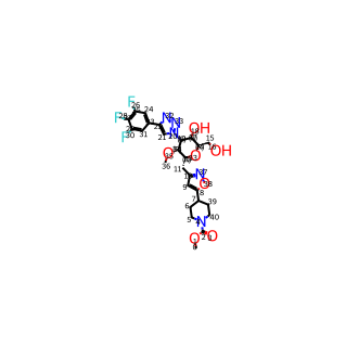 COC(=O)N1CCC(c2cc(C[C@H]3O[C@H](CO)[C@H](O)[C@H](n4cc(-c5cc(F)c(F)c(F)c5)nn4)[C@H]3OC)no2)CC1